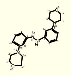 c1cc(NNc2cccc(N3CCOCC3)c2)cc(N2CCOCC2)c1